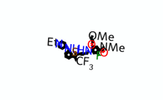 CCN1CCC(Nc2cccc3c(CC(F)(F)F)c(C#CCNc4cc(F)c(C(=O)NC)cc4OCCOC)sc23)CC1